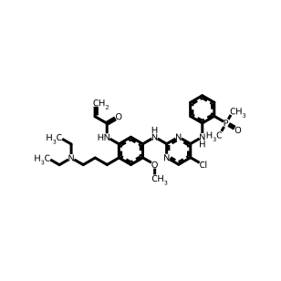 C=CC(=O)Nc1cc(Nc2ncc(Cl)c(Nc3ccccc3P(C)(C)=O)n2)c(OC)cc1CCCN(CC)CC